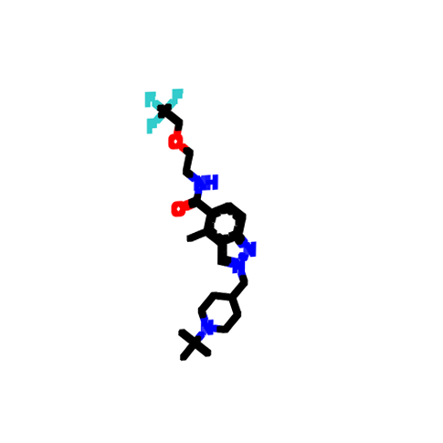 Cc1c(C(=O)NCCOCC(F)(F)F)ccc2nn(CC3CCN(C(C)(C)C)CC3)cc12